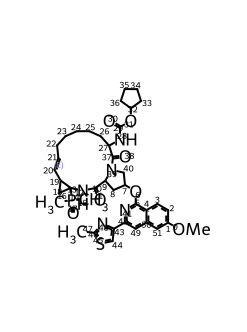 COc1ccc2c(OC3CC4C(=O)NC5(P(C)(C)=O)CC5/C=C/CCCCCC(NC(=O)OC5CCCC5)C(=O)N4C3)nc(-c3csc(C)n3)cc2c1